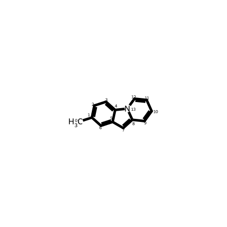 Cc1ccc2c(c1)cc1ccccn12